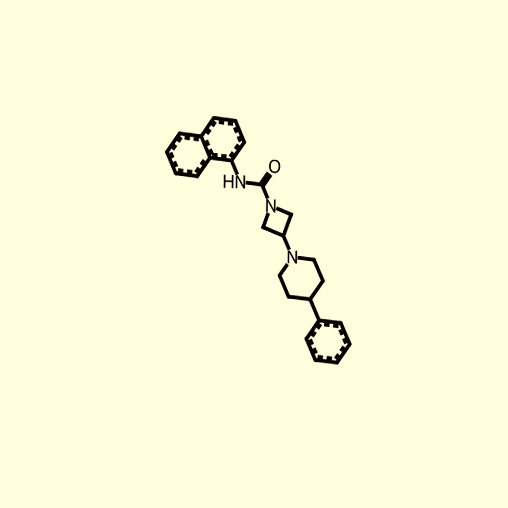 O=C(Nc1cccc2ccccc12)N1CC(N2CCC(c3ccccc3)CC2)C1